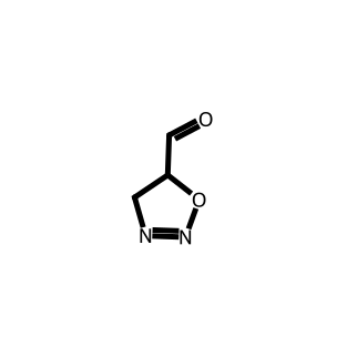 O=CC1CN=NO1